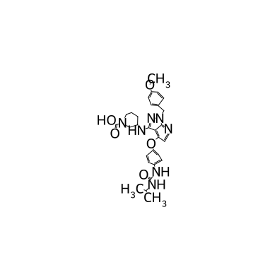 COc1ccc(Cn2nc(N[C@@H]3CCCN(C(=O)O)C3)c3c(Oc4ccc(NC(=O)NC(C)C)cc4)ccnc32)cc1